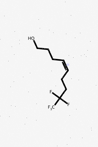 OCCC/C=C\CCC(F)(F)C(F)(F)F